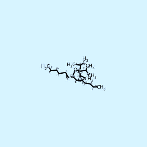 CCCCCC[SiH](CCCCCC)O[Si](C(C)C)(C(C)C)C(C)C